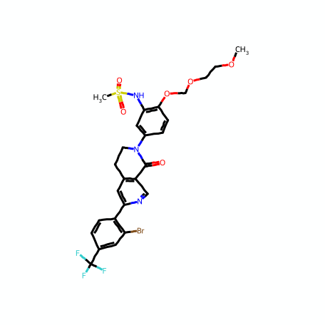 COCCOCOc1ccc(N2CCc3cc(-c4ccc(C(F)(F)F)cc4Br)ncc3C2=O)cc1NS(C)(=O)=O